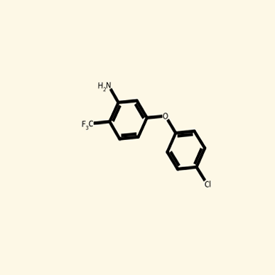 Nc1cc(Oc2ccc(Cl)cc2)ccc1C(F)(F)F